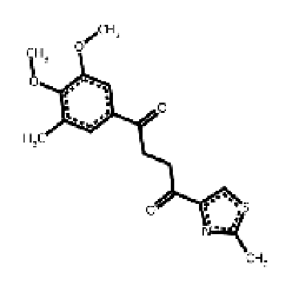 COc1cc(C(=O)CCC(=O)c2csc(C)n2)cc(C)c1OC